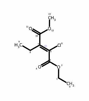 CCOC(=O)/C(Cl)=C(\CC)C(=O)OC